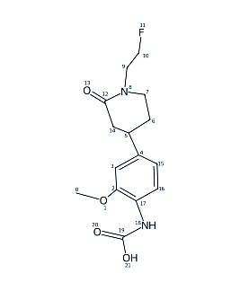 COc1cc(C2CCN(CCF)C(=O)C2)ccc1NC(=O)O